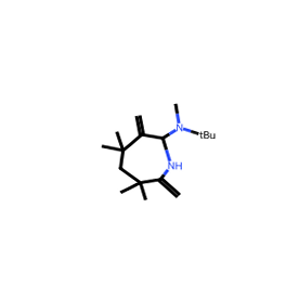 C=C1NC(N(C)C(C)(C)C)C(=C)C(C)(C)CC1(C)C